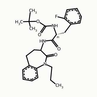 CCCN1C(=O)C(NC(=O)[C@@H](Cc2ccccc2F)NC(=O)OC(C)(C)C)CCc2ccccc21